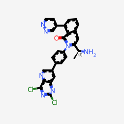 C[C@H](N)c1cc2cccc(-c3ccnnc3)c2c(=O)n1-c1ccc(-c2cnc3c(Cl)nc(Cl)nc3c2)cc1